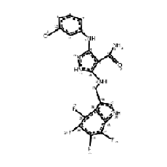 NC(=O)c1c(Nc2cccc(Cl)c2)n[nH]c1NCc1c[nH]c2c(F)c(F)c(F)c(F)c12